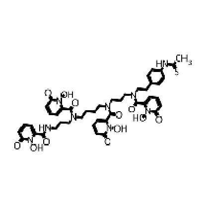 CC(=S)Nc1ccc(CCN(CCCN(CCCCN(CCCNC(=O)c2cccc(=O)n2O)C(=O)c2cccc(=O)n2O)C(=O)c2cccc(=O)n2O)C(=O)c2cccc(=O)n2O)cc1